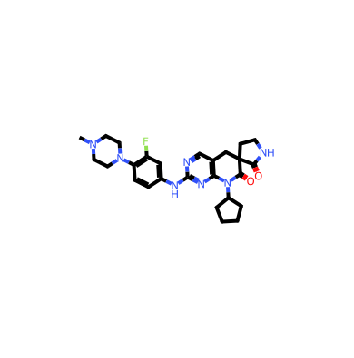 CN1CCN(c2ccc(Nc3ncc4c(n3)N(C3CCCC3)C(=O)C3(CCNC3=O)C4)cc2F)CC1